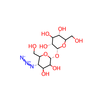 [N-]=[N+]=N[C@@H]1C(CO)O[C@H](O[C@H]2OC(CO)[C@@H](O)C(O)[C@H]2O)C(O)[C@H]1O